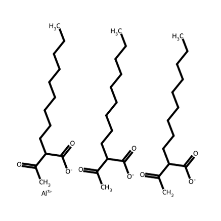 CCCCCCCCCC(C(C)=O)C(=O)[O-].CCCCCCCCCC(C(C)=O)C(=O)[O-].CCCCCCCCCC(C(C)=O)C(=O)[O-].[Al+3]